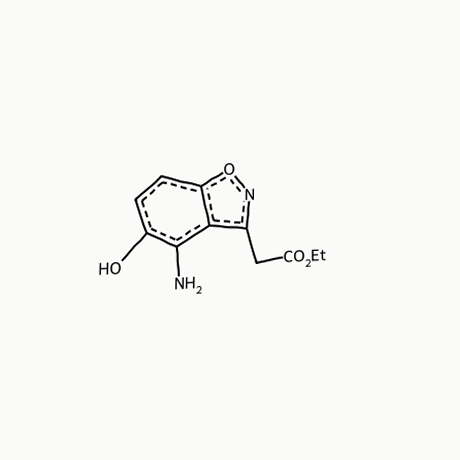 CCOC(=O)Cc1noc2ccc(O)c(N)c12